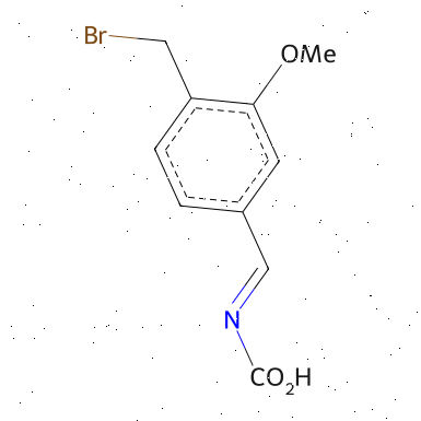 COc1cc(C=NC(=O)O)ccc1CBr